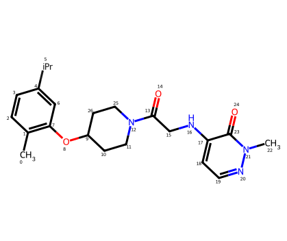 Cc1ccc(C(C)C)cc1OC1CCN(C(=O)CNc2ccnn(C)c2=O)CC1